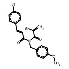 C=C(Br)C(=O)N(Cc1ccc(OC)cc1)C(=O)C=Cc1ccc(Cl)cc1